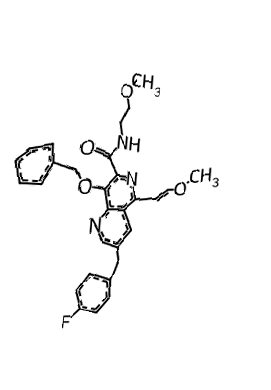 COC=Cc1nc(C(=O)NCCOC)c(OCc2ccccc2)c2ncc(Cc3ccc(F)cc3)cc12